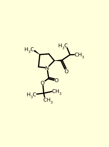 CC(C)C(=O)[C@@H]1C[C@H](C)CN1C(=O)OC(C)(C)C